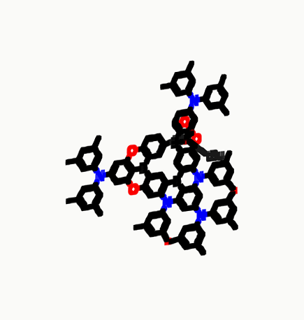 Cc1cc(C)cc(N(c2cc(C)cc(C)c2)c2cc3c4c(c2)Oc2cc5c(cc2B4c2cc(C(C)(C)C)ccc2O3)B2c3cc4c(cc3N(c3cc(C)cc(C)c3)c3cc(N(c6cc(C)cc(C)c6)c6cc(C)cc(C)c6)cc(c32)N5c2cc(C)cc(C)c2)Oc2cc(N(c3cc(C)cc(C)c3)c3cc(C)cc(C)c3)cc3c2B4c2cc(C(C)(C)C)ccc2O3)c1